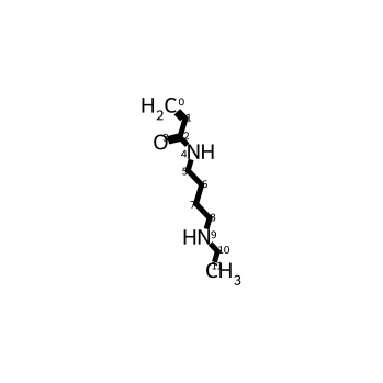 C=CC(=O)NCCCCNCC